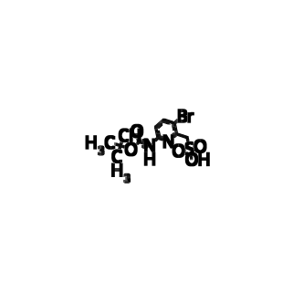 CC(C)(C)OC(=O)Nc1ccc(Br)c(CS(=O)(=O)O)n1